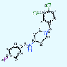 Clc1ccc(CN2CCC(NCc3ccc(I)cc3)CC2)cc1Cl